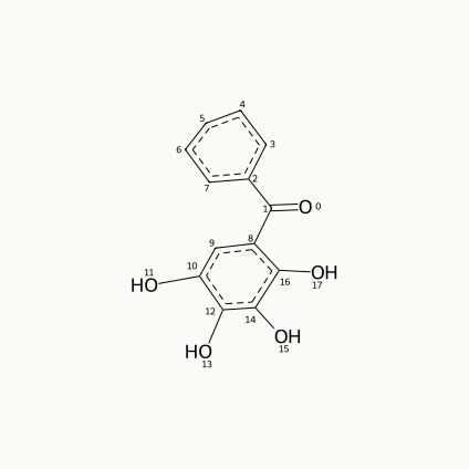 O=C(c1ccccc1)c1cc(O)c(O)c(O)c1O